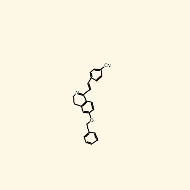 N#Cc1ccc(/C=C/C2=NCCc3cc(OCc4ccccc4)ccc32)cc1